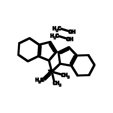 CO.CO.[CH3][Zr]([CH3])(=[SiH2])([CH]1C=CC2=C1CCCC2)[CH]1C=CC2=C1CCCC2